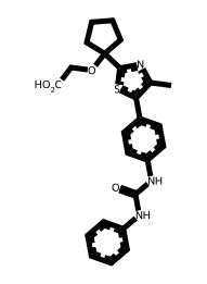 Cc1nc(C2(OCC(=O)O)CCCC2)sc1-c1ccc(NC(=O)Nc2ccccc2)cc1